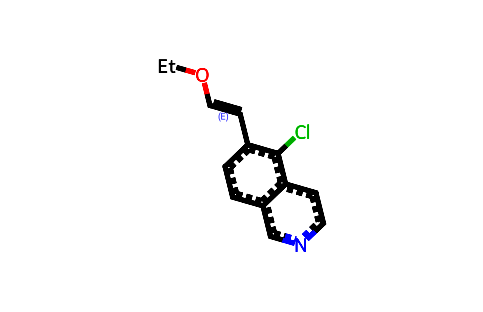 CCO/C=C/c1ccc2cnccc2c1Cl